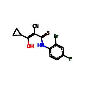 N#CC(C(=S)Nc1ccc(F)cc1Br)=C(O)C1CC1